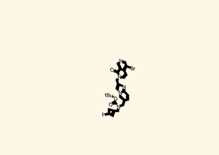 CC(C)(C)OC(=O)N(Cc1ccc2nc(Cn3ccc4c(Br)cncc4c3=O)cn2c1)CC12CC(F)(C1)C2